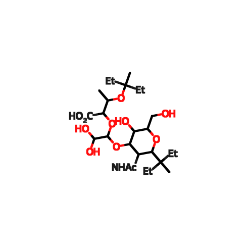 CCC(C)(CC)OC(C)C(OC(OC1C(O)C(CO)OC(C(C)(CC)CC)C1NC(C)=O)C(O)O)C(=O)O